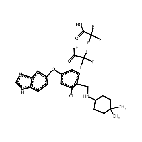 CC1(C)CCC(NCc2ccc(Oc3ccc4[nH]cnc4c3)cc2Cl)CC1.O=C(O)C(F)(F)F.O=C(O)C(F)(F)F